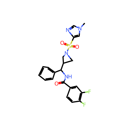 Cn1cnc(S(=O)(=O)N2CC(C(NC(=O)c3ccc(F)c(F)c3)c3ccccc3)C2)c1